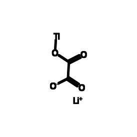 O=C([O-])C(=O)[O][Ti].[Li+]